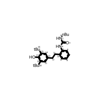 CCCCNC(=O)Nc1ccccc1CCc1cc(C(C)(C)C)c(O)c(C(C)(C)C)c1